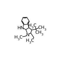 CCC1C(C(C)(C)C)C2c3ccccc3NC2N1CC